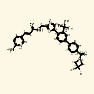 Nc1ccc(/C=C/C(=O)NCc2ncc(-c3ccc(-c4ccc(C(=O)N5CC(F)(F)C5)cc4)cc3C(F)(F)F)o2)cn1